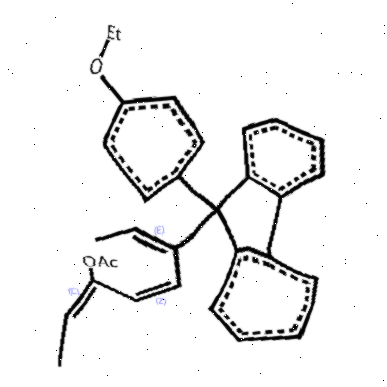 C\C=C(/C=C\C(=C/C)C1(c2ccc(OCC)cc2)c2ccccc2-c2ccccc21)OC(C)=O